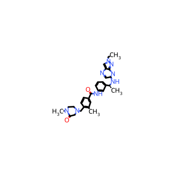 CCn1cc2ncc(N[C@@H](C)c3cccc(NC(=O)c4ccc(CN5CCN(C)C(=O)C5)c(C)c4)c3)nc2n1